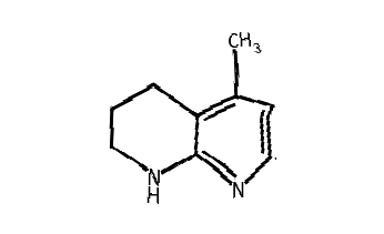 Cc1c[c]nc2c1CCCN2